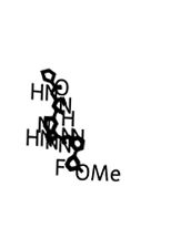 COc1cc(F)cc(-c2ccnc3[nH]c(-c4n[nH]c5ncc(-c6cncc(NC(=O)C7CCCC7)c6)cc45)nc23)c1